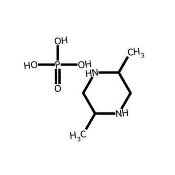 CC1CNC(C)CN1.O=P(O)(O)O